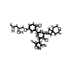 CNC[C@@H](O)COc1ccc(Cl)c(-c2nc(-c3c(C)noc3C)c(Cl)c(N3CC4(CCOCC4)C3)n2)c1